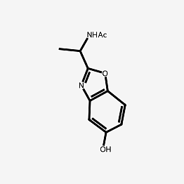 CC(=O)NC(C)c1nc2cc(O)ccc2o1